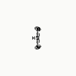 CCO[Si](C)(CCCCCOCCNCCOCCCCC[Si](C)(OCC)OCC)OCC